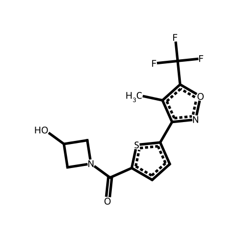 Cc1c(-c2ccc(C(=O)N3CC(O)C3)s2)noc1C(F)(F)F